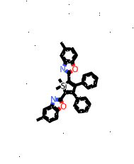 Cc1ccc2oc(C3=C(c4ccccc4)C(c4ccccc4)=C(c4nc5cc(C)ccc5o4)[Si]3(C)C)nc2c1